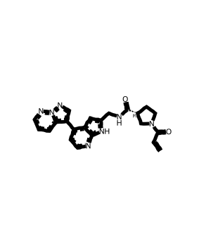 C=CC(=O)N1CC[C@@H](C(=O)NCc2cc3c(-c4cnn5ncccc45)ccnc3[nH]2)C1